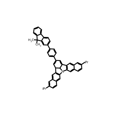 CC(C)c1ccc2cc3c(cc2c1)C1=CC(c2ccc(-c4ccc5c(c4)C(C)(C)c4ccccc4-5)cc2)=CC2c4cc5cc(C(C)C)ccc5cc4N3C12